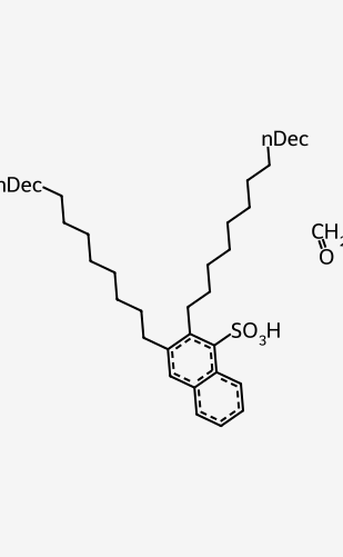 C=O.CCCCCCCCCCCCCCCCCCc1cc2ccccc2c(S(=O)(=O)O)c1CCCCCCCCCCCCCCCCCC